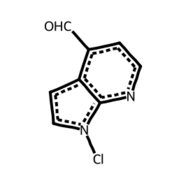 O=Cc1ccnc2c1ccn2Cl